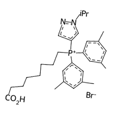 Cc1cc(C)cc([P+](CCCCCCCC(=O)O)(c2cc(C)cc(C)c2)c2cnn(C(C)C)c2)c1.[Br-]